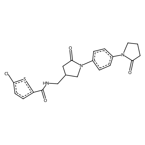 O=C(NCC1CC(=O)N(c2ccc(N3CCCC3=O)cc2)C1)c1ccc(Cl)s1